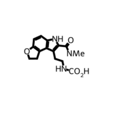 CNC(=O)c1[nH]c2ccc3c(c2c1CCNC(=O)O)CCO3